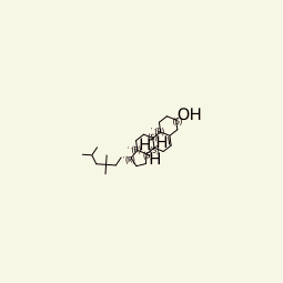 CC(C)CC(C)(C)CC[C@H]1CC[C@H]2[C@@H]3CC=C4C[C@@H](O)CC[C@]4(C)[C@H]3CC[C@]12C